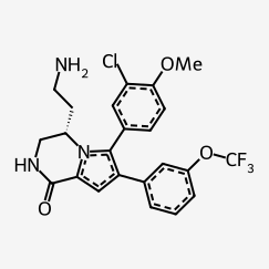 COc1ccc(-c2c(-c3cccc(OC(F)(F)F)c3)cc3n2[C@@H](CCN)CNC3=O)cc1Cl